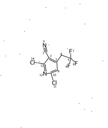 N#Cc1c(CC(F)(F)F)cc(Cl)nc1Cl